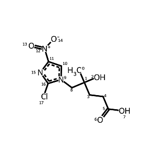 CC(O)(CCC(=O)O)Cn1cc([N+](=O)[O-])nc1Cl